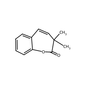 CC1(C)C=Cc2ccccc2OC1=O